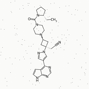 CC[C@H]1CCCN1C(=O)N1CCN([C@H]2C[C@@](CC#N)(n3cc(-c4ncnc5[nH]ccc45)cn3)C2)CC1